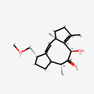 COC[C@H]1CCC2/C1=C\[C@@]1(C)CCC(C)=C1[C@@H](O)C(=O)[C@@H]2C